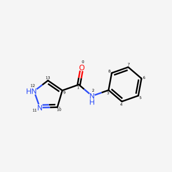 O=C(Nc1ccccc1)c1[c]n[nH]c1